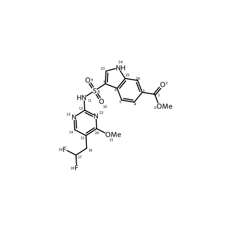 COC(=O)c1ccc2c(S(=O)(=O)Nc3ncc(CC(F)F)c(OC)n3)c[nH]c2c1